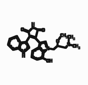 COC(CN(C)C)Cn1cc(C2=C(c3c[nH]c4ccccc34)C(=O)NC2=O)c2cccc(O)c21